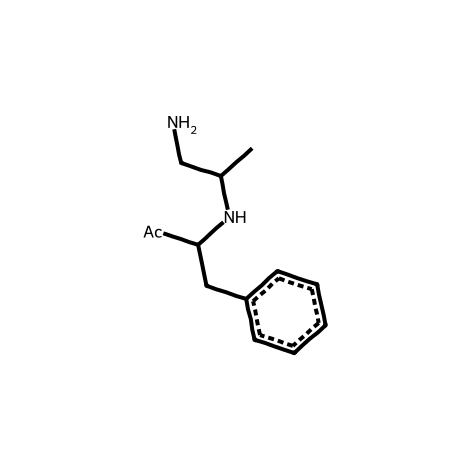 CC(=O)C(Cc1ccccc1)NC(C)CN